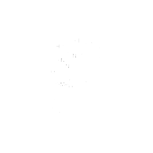 COC(=O)c1c(OCc2ccccc2)c2cccc(-c3cccc(Cl)c3)c2c2nc(C)nn12